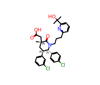 CC(C)(O)c1cccc(CCCN2C(=O)[C@@](C)(CC(=O)O)C[C@H](c3cccc(Cl)c3)[C@H]2c2ccc(Cl)cc2)n1